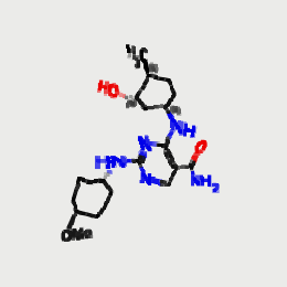 CO[C@H]1CC[C@H](Nc2ncc(C(N)=O)c(N[C@@H]3CC[C@H](C)[C@@H](O)C3)n2)CC1